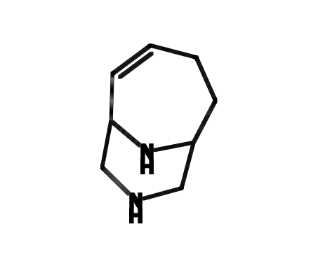 C1=CC2CNCC(CC1)N2